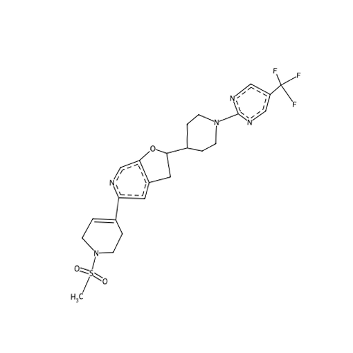 CS(=O)(=O)N1CC=C(c2cc3c(cn2)OC(C2CCN(c4ncc(C(F)(F)F)cn4)CC2)C3)CC1